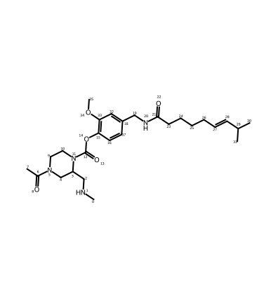 CNCC1CN(C(C)=O)CCN1C(=O)Oc1ccc(CNC(=O)CCCCC=CC(C)C)cc1OC